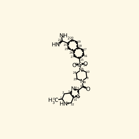 CC1Cc2nc(C(=O)N3CCN(S(=O)(=O)c4ccc5ccc(C(=N)N)cc5c4)CC3)sc2CN1